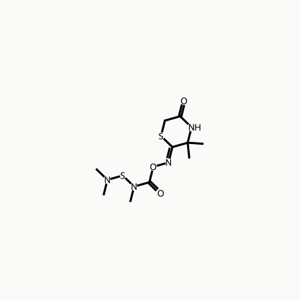 CN(C)SN(C)C(=O)ON=C1SCC(=O)NC1(C)C